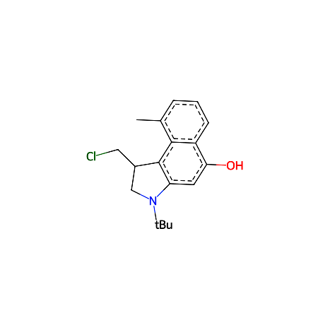 Cc1cccc2c(O)cc3c(c12)C(CCl)CN3C(C)(C)C